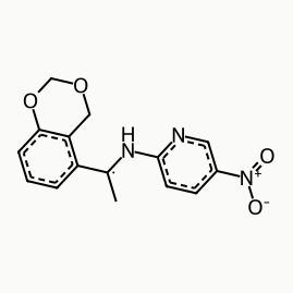 C[C](Nc1ccc([N+](=O)[O-])cn1)c1cccc2c1COCO2